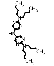 CCCCN(CCCC)c1ncc(Nc2cnc(N(CCCC)CCCC)nc2)cn1